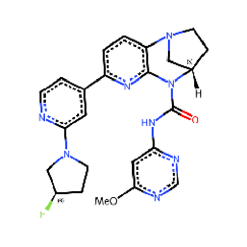 COc1cc(NC(=O)N2c3nc(-c4ccnc(N5CC[C@@H](F)C5)c4)ccc3N3CC[C@H]2C3)ncn1